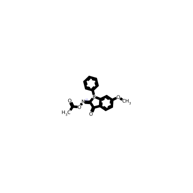 COc1ccc2c(c1)B(c1ccccc1)/C(=N/OC(C)=O)C2=O